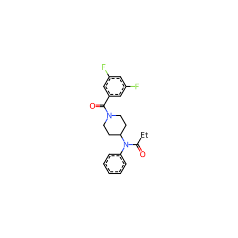 CCC(=O)N(c1ccccc1)C1CCN(C(=O)c2cc(F)cc(F)c2)CC1